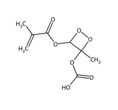 C=C(C)C(=O)OC1OOC1(C)OC(=O)O